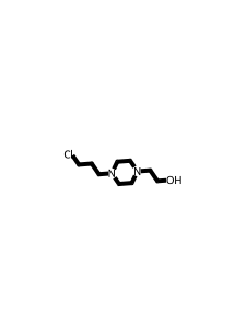 OCCN1CCN(CCCCl)CC1